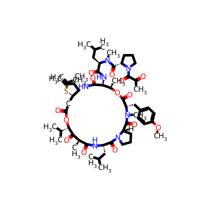 CC[C@H](C)[C@@H]1NC(=O)[C@@H](NC(=O)[C@@H](CC(C)C)N(C)C(=O)[C@@H]2CCCN2C(=O)C(C)=O)[C@@H](C)OC(=O)[C@H](Cc2ccc(OC)cc2)N(C)C(=O)[C@@H]2CCCN2C(=O)[C@H](CC(C)C)NC(=O)[C@@H](C)C(=O)[C@H](C(C)C)OC(=O)C[C@@H]1SC(C)C